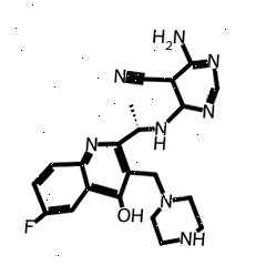 C[C@H](NC1N=CN=C(N)C1C#N)c1nc2ccc(F)cc2c(O)c1CN1CCNCC1